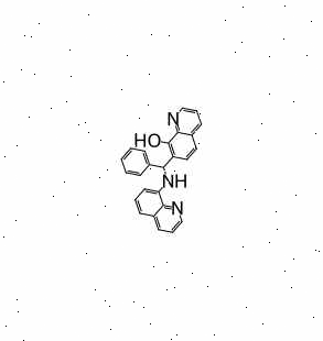 Oc1c(C(Nc2cccc3cccnc23)c2ccccc2)ccc2cccnc12